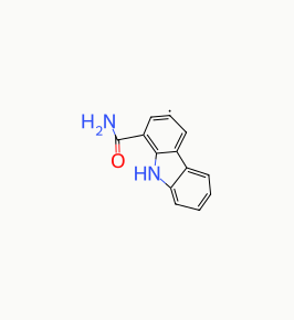 NC(=O)c1c[c]cc2c1[nH]c1ccccc12